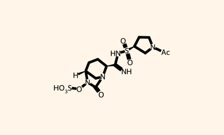 CC(=O)N1CC[C@H](S(=O)(=O)NC(=N)[C@@H]2CC[C@@H]3CN2C(=O)N3OS(=O)(=O)O)C1